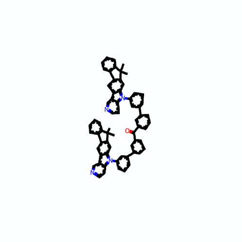 CC1(C)c2ccccc2-c2cc3c4cnccc4n(-c4cccc(-c5cccc(C(=O)c6cccc(-c7cccc(-n8c9ccncc9c9cc%10c(cc98)C(C)(C)c8ccccc8-%10)c7)c6)c5)c4)c3cc21